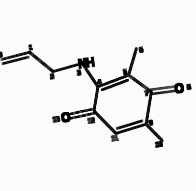 C=CCNC1=C(C)C(=O)C(C)=CC1=O